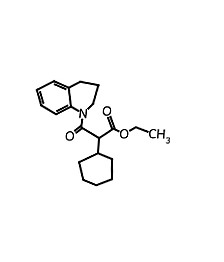 CCOC(=O)C(C(=O)N1CCCc2ccccc21)C1CCCCC1